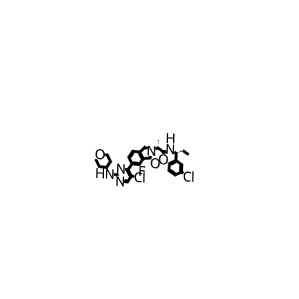 CC[C@@H](NC(=O)[C@@H](C)N1Cc2ccc(-c3nc(NC4CCOCC4)ncc3Cl)c(F)c2C1=O)c1cccc(Cl)c1